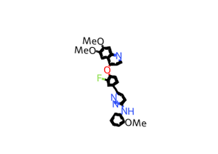 COc1ccccc1Nc1ccc(-c2ccc(Oc3ccnc4cc(OC)c(OC)cc34)c(F)c2)nn1